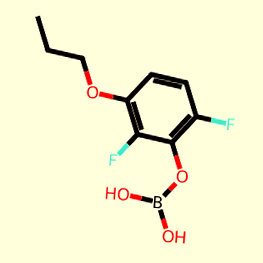 CCCOc1ccc(F)c(OB(O)O)c1F